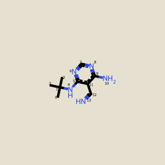 CC(C)(C)Nc1ncnc(N)c1C=N